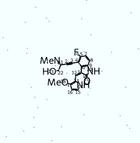 CN[C@@H](C#Cc1c(F)ccc2c1/C(=C/c1[nH]ccc1OC)C(=O)N2)CO